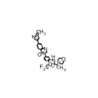 CC(C(=O)Nc1cc(-n2cnc3cc(-c4cnn(C)c4)ccc3c2=O)ccc1OC(F)(F)F)N1CCOCC1